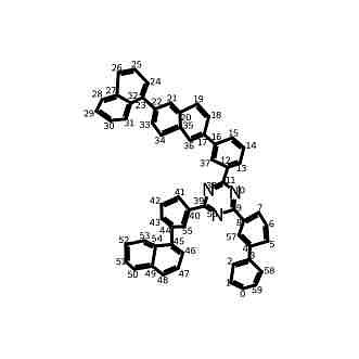 c1ccc(-c2cccc(-c3nc(-c4cccc(-c5ccc6cc(-c7cccc8ccccc78)ccc6c5)c4)nc(-c4cccc(-c5cccc6ccccc56)c4)n3)c2)cc1